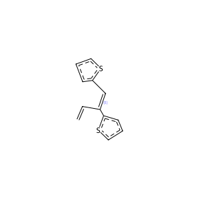 C=C/C(=C\c1cccs1)c1cccs1